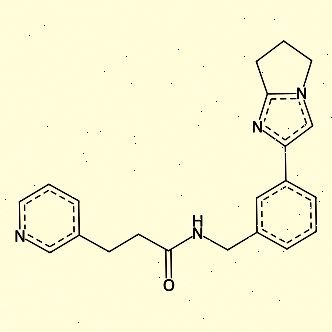 O=C(CCc1cccnc1)NCc1cccc(-c2cn3c(n2)CCC3)c1